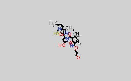 CC/C=C\[C@](C)(/N=C\S)C(C)NC(=O)[C@@H]1C[C@@H](O)CN1C(=O)C(c1cc(OCCC=O)no1)C(C)C